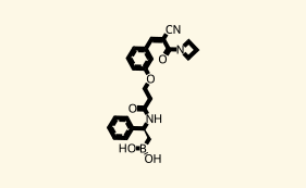 N#CC(=Cc1cccc(OCCC(=O)N[C@@H](CB(O)O)c2ccccc2)c1)C(=O)N1CCC1